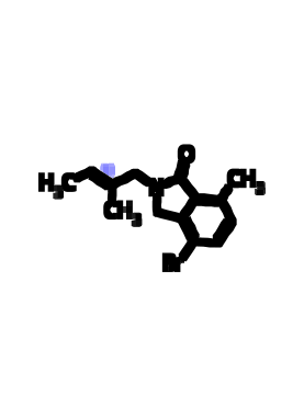 C/C=C(\C)CN1Cc2c(Br)ccc(C)c2C1=O